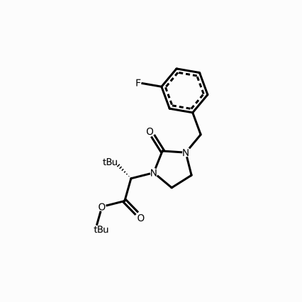 CC(C)(C)OC(=O)[C@@H](N1CCN(Cc2cccc(F)c2)C1=O)C(C)(C)C